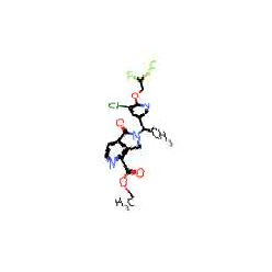 CCOC(=O)c1nccc2c1CN(C(C)c1cnc(OCC(F)F)c(Cl)c1)C2=O